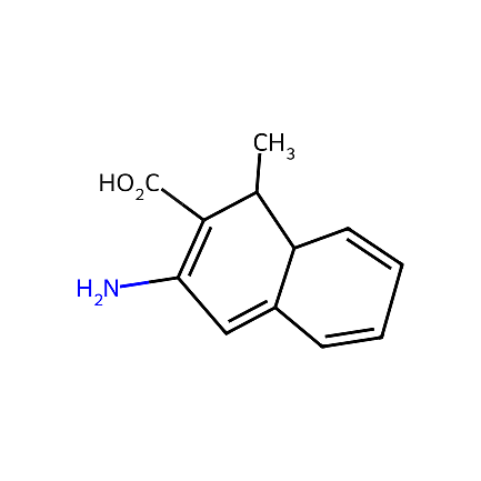 CC1C(C(=O)O)=C(N)C=C2C=CC=CC21